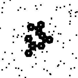 c1ccc(-c2nc(-c3ccccc3)nc(-c3cccc(-n4c5ccccc5c5cc6c(cc54)nc4n(-c5ccccc5)c5ccccc5n64)c3)n2)cc1